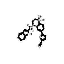 N#Cc1ccc(-c2ccc3c(c2)N(S(=O)(=O)c2cc4ccccc4[nH]2)CCS3(O)O)s1